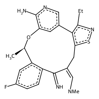 CCc1nsc2c1-c1cnc(N)c(c1)O[C@H](C)c1cc(F)ccc1C(=N)/C(=C\NC)C2